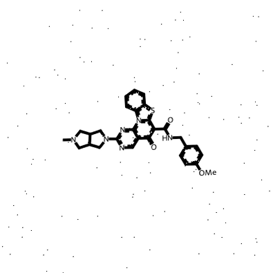 COc1ccc(CNC(=O)c2c(=O)c3cnc(N4CC5CN(C)CC5C4)nc3n3c2sc2ccccc23)cc1